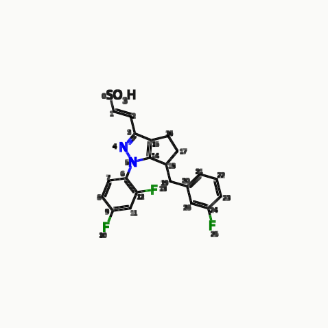 O=S(=O)(O)/C=C/c1nn(-c2ccc(F)cc2F)c2c1CCC2Cc1cccc(F)c1